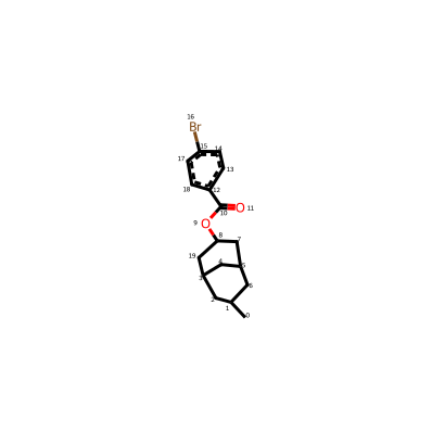 CC1CC2CC(C1)CC(OC(=O)c1ccc(Br)cc1)C2